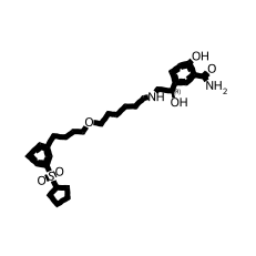 NC(=O)c1cc([C@@H](O)CNCCCCCCOCCCCc2cccc(S(=O)(=O)C3CCCC3)c2)ccc1O